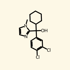 Cn1ccnc1C(O)(c1ccc(Cl)c(Cl)c1)C1CCCCC1